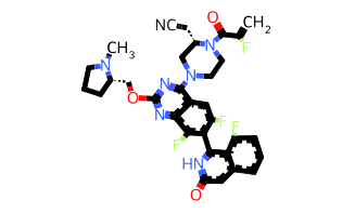 C=C(F)C(=O)N1CCN(c2nc(OC[C@@H]3CCCN3C)nc3c(F)c(-c4[nH]c(=O)cc5cccc(F)c45)c(F)cc23)C[C@@H]1CC#N